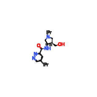 CC(C)c1cnnc(C(=O)N[C@H]2CN(C(C)C)C[C@H]2CO)c1